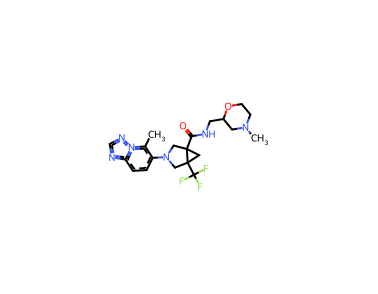 Cc1c(N2CC3(C(=O)NCC4CN(C)CCO4)CC3(C(F)(F)F)C2)ccc2ncnn12